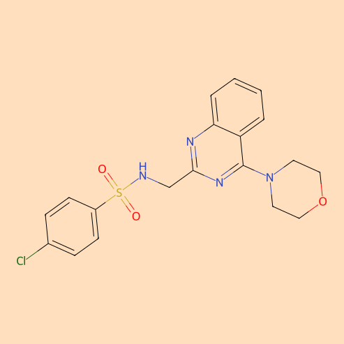 O=S(=O)(NCc1nc(N2CCOCC2)c2ccccc2n1)c1ccc(Cl)cc1